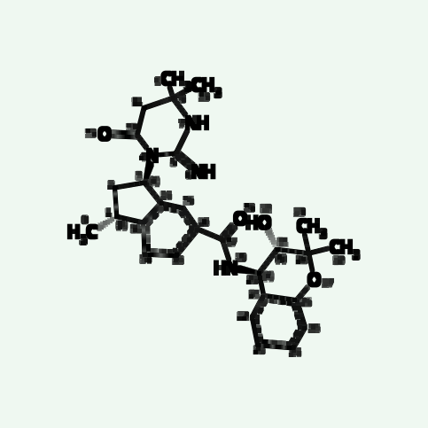 C[C@@H]1C[C@@H](N2C(=N)NC(C)(C)CC2=O)c2cc(C(=O)N[C@@H]3c4ccccc4OC(C)(C)[C@H]3O)ccc21